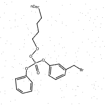 CCCCCCCCCCCCCCOOP(=O)(Oc1ccccc1)Oc1cccc(CBr)c1